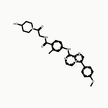 COc1ccc(-c2cnc3c(Nc4ccc(C(=O)NCC(=O)N5CCC(O)CC5)c(C)c4)nccn23)cc1